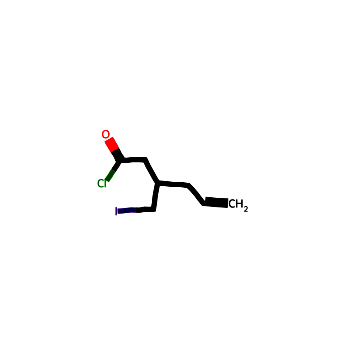 C=CCC(CI)CC(=O)Cl